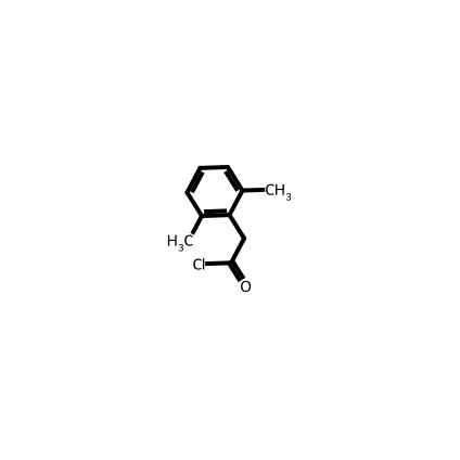 Cc1cccc(C)c1CC(=O)Cl